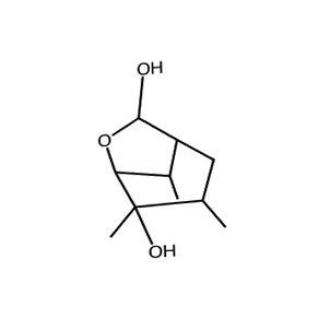 CC1C2CC(C)C(C)(O)C1OC2O